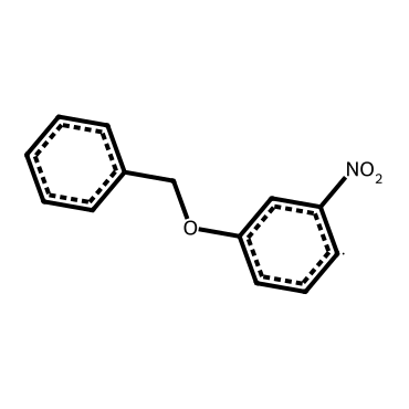 O=[N+]([O-])c1[c]ccc(OCc2ccccc2)c1